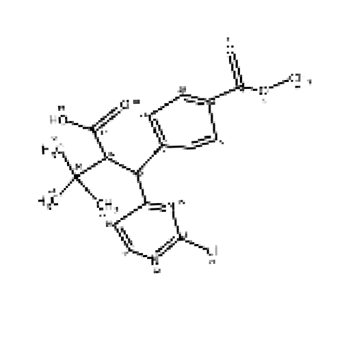 COC(=O)c1ccc(C(c2ccnc(Cl)n2)C(C(=O)O)C(C)(C)C)cc1